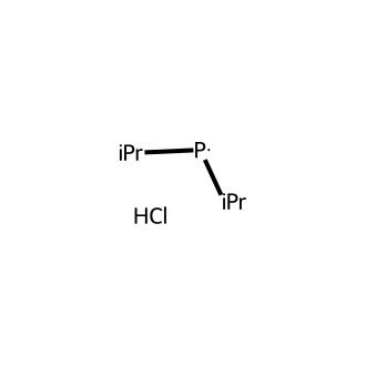 CC(C)[P]C(C)C.Cl